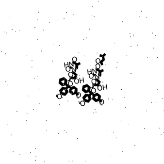 CC(=O)CC(C)C.COc1ccc(C(OC[C@H]2O[C@@H](n3cc(C)c(=O)[nH]c3=O)C[C@@H]2O)(c2ccccc2)c2ccc(OC)cc2)cc1.COc1ccc(C(OC[C@H]2O[C@@H](n3cc(C)c(=O)[nH]c3=O)C[C@@H]2O)(c2ccccc2)c2ccc(OC)cc2)cc1